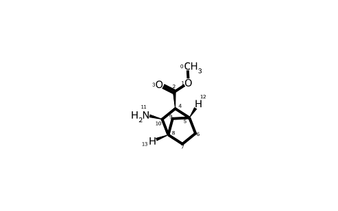 COC(=O)[C@H]1[C@@H]2CC[C@@H](C2)[C@H]1N